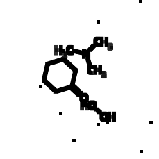 CN(C)C.O=C1CCCCC1.OO